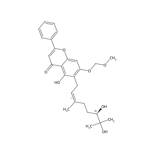 COCOc1cc2oc(-c3ccccc3)cc(=O)c2c(O)c1C/C=C(/C)CC[C@@H](O)C(C)(C)O